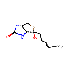 O=C(O)CCCCC1(O)SCC2NC(=O)NC21